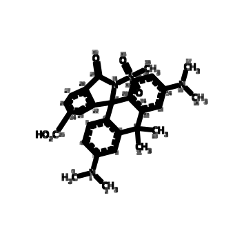 CN(C)c1ccc2c(c1)C(C)(C)c1cc(N(C)C)ccc1C21c2cc(C(=O)O)ccc2C(=O)N1S(C)(=O)=O